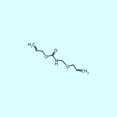 C=CCOCNC(=O)OCC=C